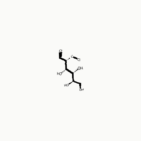 O=C[C@H](OCl)[C@@H](O)[C@H](O)[C@H](O)CO